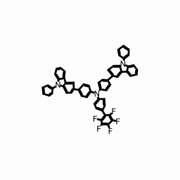 Fc1c(F)c(F)c(-c2ccc(N(c3ccc(-c4ccc5c(c4)c4ccccc4n5-c4ccccc4)cc3)c3ccc(-c4ccc5c(c4)c4ccccc4n5-c4ccccc4)cc3)cc2)c(F)c1F